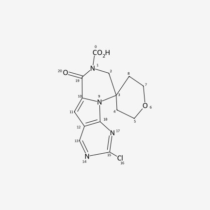 O=C(O)N1CC2(CCOCC2)n2c(cc3cnc(Cl)nc32)C1=O